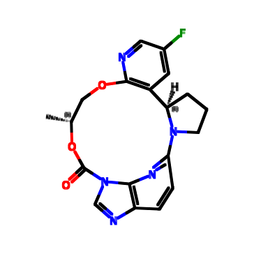 C[C@@H]1COc2ncc(F)cc2[C@H]2CCCN2c2ccc3ncn(c3n2)C(=O)O1